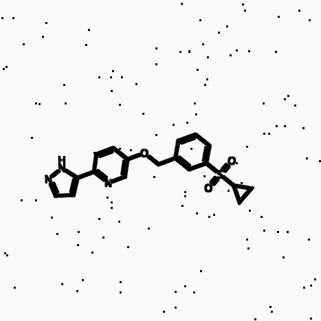 O=S(=O)(c1cccc(COc2ccc(-c3ccn[nH]3)nc2)c1)C1CC1